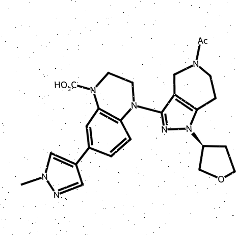 CC(=O)N1CCc2c(c(N3CCN(C(=O)O)c4cc(-c5cnn(C)c5)ccc43)nn2[C@H]2CCOC2)C1